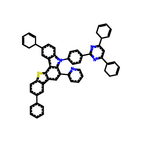 C1=CCCC(c2cc(C3C=CC=CC3)nc(-c3ccc(-n4c5ccc(C6C=CC=CC6)cc5c5c6sc7ccc(-c8ccccc8)cc7c6cc(-c6ccccn6)c54)cc3)n2)=C1